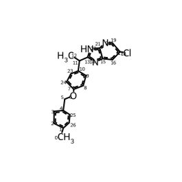 Cc1ccc(COc2ccc(C(C)c3nc4cc(Cl)cnc4[nH]3)cc2)cc1